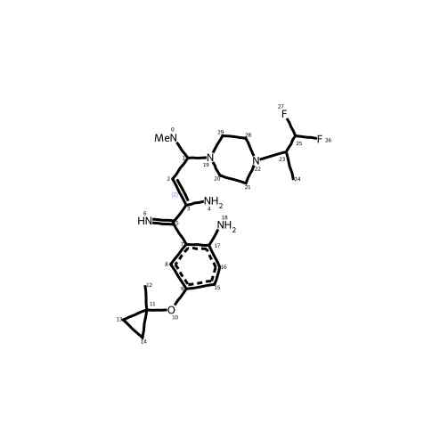 CNC(/C=C(\N)C(=N)c1cc(OC2(C)CC2)ccc1N)N1CCN(C(C)C(F)F)CC1